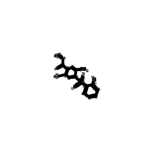 C=NC(=O)c1cc([N+](=O)[O-])c(S(=O)(=O)c2ccccc2Cl)cc1C